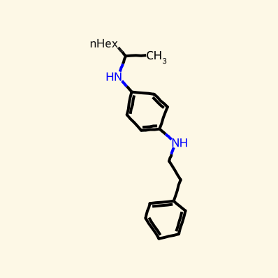 CCCCCCC(C)Nc1ccc(NCCc2ccccc2)cc1